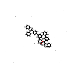 C1=C=C(c2cccc3c2-n2c4c(c5cc(-c6ccc(-c7nc8ccccc8n7-c7ccccc7)cc6)cc(c52)-c2ccccc2-3)C=CCC4)c2c(oc3ccccc23)C=1